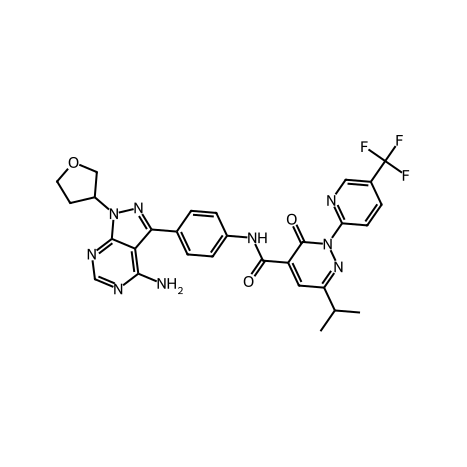 CC(C)c1cc(C(=O)Nc2ccc(-c3nn(C4CCOC4)c4ncnc(N)c34)cc2)c(=O)n(-c2ccc(C(F)(F)F)cn2)n1